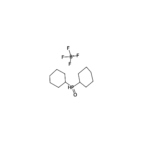 F[B-](F)(F)F.O=[PH](C1CCCCC1)C1CCCCC1